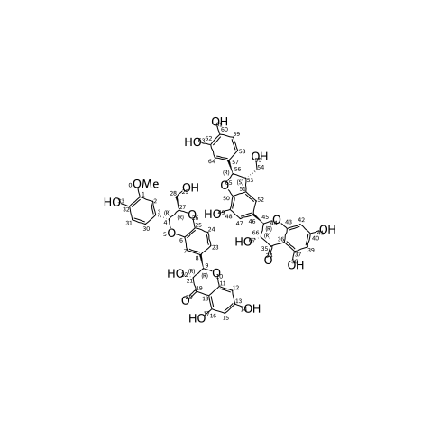 COc1cc([C@H]2Oc3cc([C@H]4Oc5cc(O)cc(O)c5C(=O)[C@@H]4O)ccc3O[C@@H]2CO)ccc1O.O=C1c2c(O)cc(O)cc2O[C@H](c2cc(O)c3c(c2)[C@@H](CO)[C@H](c2ccc(O)c(O)c2)O3)[C@H]1O